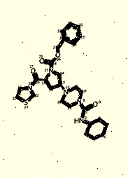 O=C(NC1CCCCC1)N1CCN([C@H]2C[C@@H](C(=O)N3CCSC3)N(C(=O)OCc3ccccc3)C2)CC1